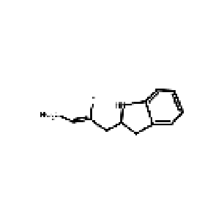 O=C(O)C=C(F)CC1Cc2ccccc2N1